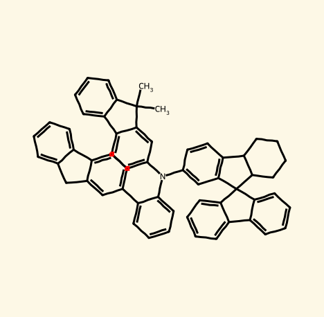 CC1(C)c2ccccc2-c2ccc(N(c3ccc4c(c3)C3(c5ccccc5-c5ccccc53)C3CCCCC43)c3ccccc3-c3ccc4c(c3)Cc3ccccc3-4)cc21